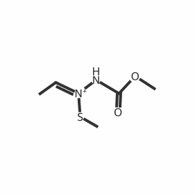 CC=[N+](NC(=O)OC)SC